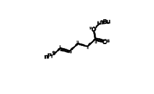 CCCC=CCCC(=O)OCCCC